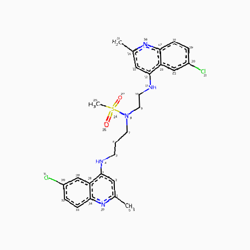 Cc1cc(NCCCN(CCNc2cc(C)nc3ccc(Cl)cc23)S(C)(=O)=O)c2cc(Cl)ccc2n1